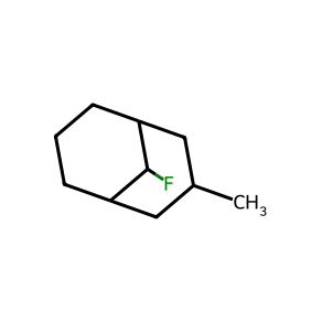 CC1CC2CCCC(C1)C2F